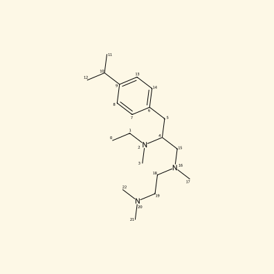 CCN(C)C(Cc1ccc(C(C)C)cc1)CN(C)CCN(C)C